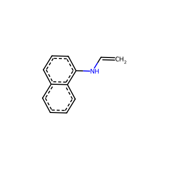 C=CNc1cccc2ccccc12